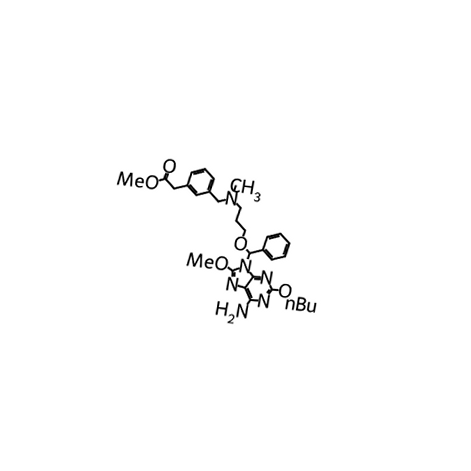 CCCCOc1nc(N)c2nc(OC)n(C(OCCCN(C)Cc3cccc(CC(=O)OC)c3)c3ccccc3)c2n1